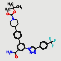 CC(C)(C)OC(=O)N1CCC(c2ccc(-c3cc(C(N)=O)cc(-n4cc(-c5ccc(C(F)(F)F)cc5)nn4)c3)cc2)CC1